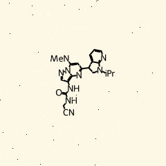 CNc1cc(C2CN(C(C)C)c3ncccc32)nc2c(NC(=O)NCC#N)cnn12